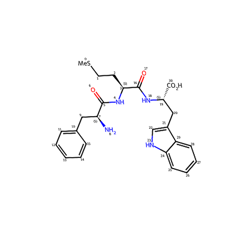 CSCC[C@H](NC(=O)[C@@H](N)Cc1ccccc1)C(=O)N[C@@H](Cc1c[nH]c2ccccc12)C(=O)O